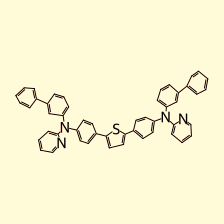 c1ccc(-c2cccc(N(c3ccc(-c4ccc(-c5ccc(N(c6cccc(-c7ccccc7)c6)c6ccccn6)cc5)s4)cc3)c3ccccn3)c2)cc1